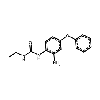 CCNC(=O)Nc1ccc(Oc2ccccc2)cc1N